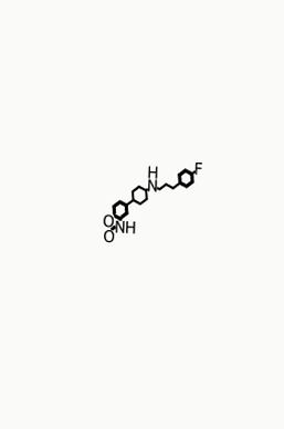 O=c1[nH]c2cc(C3CCC(NCCCc4ccc(F)cc4)CC3)ccc2o1